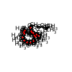 CCC(C)(C)C(=O)OCC(O)COC(=O)CSCC(C)(CC(C)(CC(C)(CC(C)(CC(C)(CC(C)(CC(C)(CC(C)(CC(C)(CC(C)(CC(C)(CC(C)(CC(C)(CC(C)(CC(C)C(=O)OC)C(=O)OC)C(=O)OC)C(=O)OC)C(=O)OC)C(=O)OC)C(=O)OC)C(=O)OC)C(=O)OC)C(=O)OC)C(=O)OC)C(=O)OC)C(=O)OC)C(=O)OC)C(=O)OC